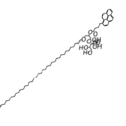 CCCCCCCCCCCCCCCCCCCCCCCCCCCCCCCCCCCCOC[C@H](COC(C(O)CO)P(=O)(O)O)OC(=O)CCCc1ccc2ccc3cccc4ccc1c2c34